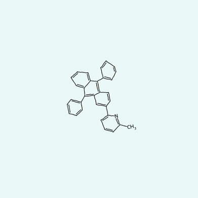 Cc1cccc(-c2ccc3c(-c4ccccc4)c4ccccc4c(-c4ccccc4)c3c2)n1